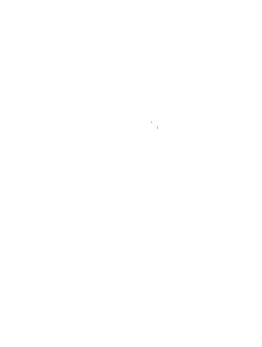 Nc1c[c]ccc1CCO